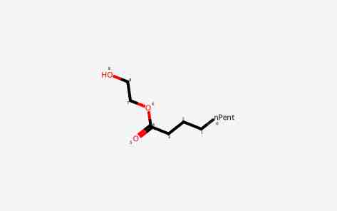 CCCCCCCCC(=O)OCCO